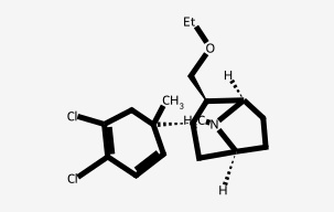 CCOC[C@H]1[C@H]2CC[C@@H](C[C@@H]1C1(C)C=CC(Cl)=C(Cl)C1)N2C